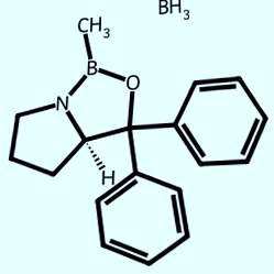 B.CB1OC(c2ccccc2)(c2ccccc2)[C@H]2CCCN12